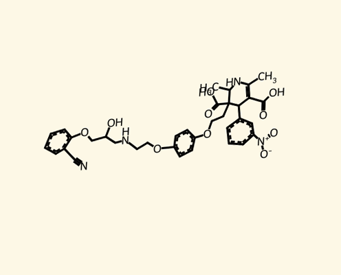 CC1=C(C(=O)O)C(c2cccc([N+](=O)[O-])c2)C(CCOc2ccc(OCCNCC(O)COc3ccccc3C#N)cc2)(C(=O)O)C(C)N1